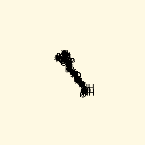 O=C1CCC(Nc2ccc(C3CCN(CC(=O)N4CCC(c5cnn(-c6cc(F)c7c(c6)C(=O)N(C(C(=O)Nc6nccs6)c6ncn8c6CCC8)C7)c5)CC4)CC3)cc2)C(=O)N1